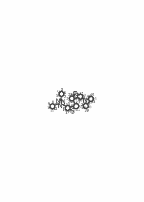 c1ccc(-c2nc(-c3ccccc3)nc(-c3ccc4sc5cccc(-c6cccc7oc8ccc(-n9c%10ccccc%10c%10ccccc%109)cc8c67)c5c4c3)n2)cc1